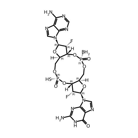 B[P@]1(=O)OC[C@H]2O[C@@H](n3cnc4c(=O)[nH]c(N)nc43)[C@H](F)[C@@H]2O[P@](=O)(S)OC[C@H]2O[C@@H](n3cnc4c(N)ncnc43)[C@H](F)[C@@H]2O1